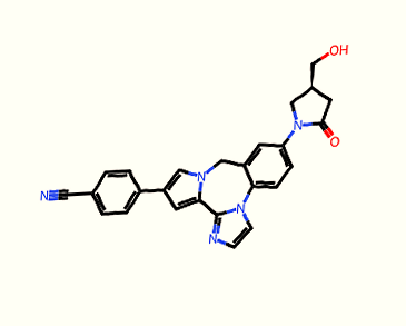 N#Cc1ccc(-c2cc3n(c2)Cc2cc(N4C[C@@H](CO)CC4=O)ccc2-n2ccnc2-3)cc1